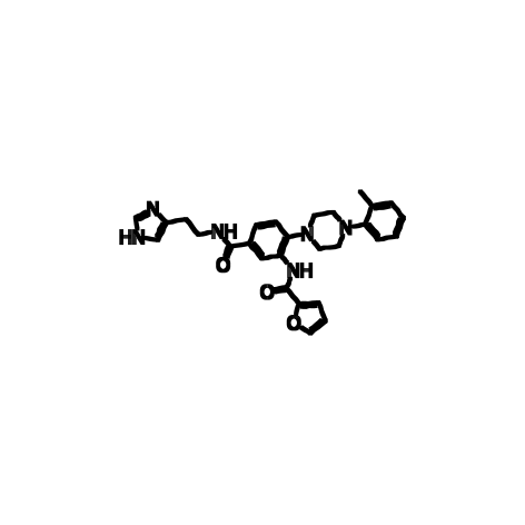 Cc1ccccc1N1CCN(c2ccc(C(=O)NCCc3c[nH]cn3)cc2NC(=O)c2ccco2)CC1